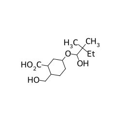 CCC(C)(C)C(O)OC1CCC(CO)C(C(=O)O)C1